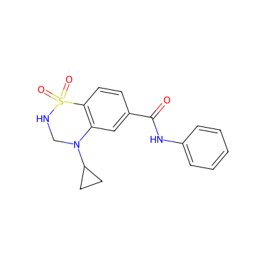 O=C(Nc1ccccc1)c1ccc2c(c1)N(C1CC1)CNS2(=O)=O